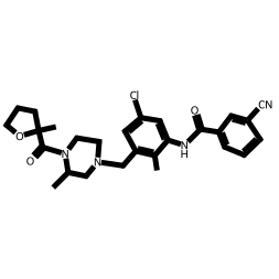 Cc1c(CN2CCN(C(=O)C3(C)CCCO3)C(C)C2)cc(Cl)cc1NC(=O)c1cccc(C#N)c1